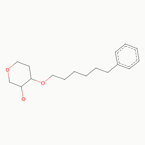 [O]C1COCCC1OCCCCCCc1ccccc1